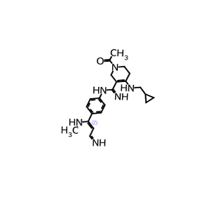 CN/C(=C\C=N)c1ccc(NC(=N)C2=C(NCC3CC3)CCN(C(C)=O)C2)cc1